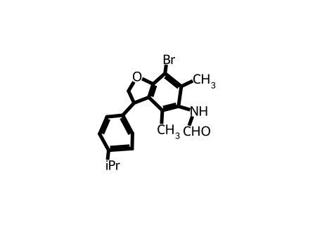 Cc1c(Br)c2c(c(C)c1NC=O)C(c1ccc(C(C)C)cc1)CO2